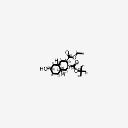 CCOC(=O)[C@@H]1C[C@H]2C[C@H](O)CC[C@H]2CN1C(=O)OC(C)(C)C